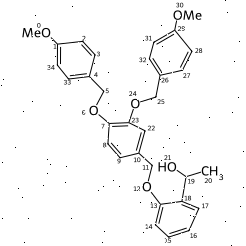 COc1ccc(COc2ccc(COc3ccccc3C(C)O)cc2OCc2ccc(OC)cc2)cc1